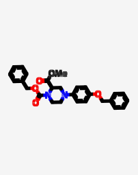 COC(=O)C1CN(c2ccc(OCc3ccccc3)cc2)CCN1C(=O)OCc1ccccc1